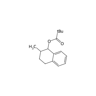 CC1CCc2ccccc2C1OC(=O)C(C)(C)C